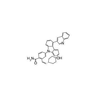 NC(=O)c1ccc(-n2c3ccccc3c3c(-c4cnc5ccccc5c4)cccc32)cc1/C=C\[C@H]1CC[C@H](O)CC1